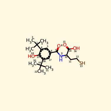 CC(C)(C)c1cc(C(=O)NC(CCS)C(=O)O)cc(C(C)(C)C)c1O